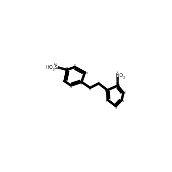 O=[N+]([O-])c1ccccc1CCc1ccc(S(=O)(=O)O)cc1